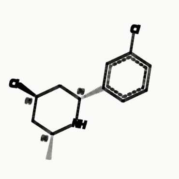 C[C@@H]1C[C@@H](Cl)C[C@H](c2cccc(Cl)c2)N1